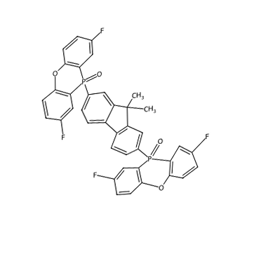 CC1(C)c2cc(P3(=O)c4cc(F)ccc4Oc4ccc(F)cc43)ccc2-c2ccc(P3(=O)c4cc(F)ccc4Oc4ccc(F)cc43)cc21